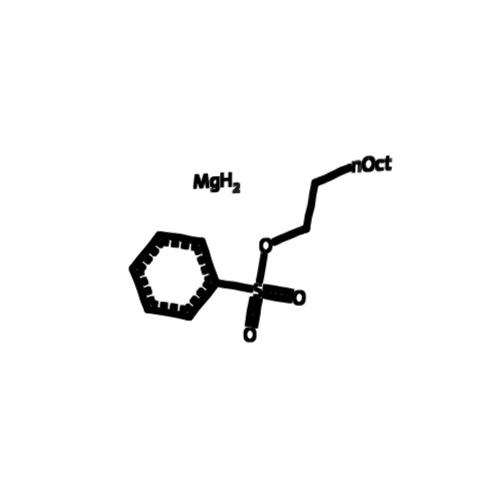 CCCCCCCCCCOS(=O)(=O)c1ccccc1.[MgH2]